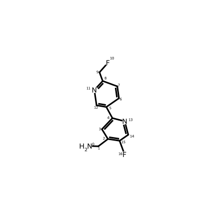 NCc1cc(-c2ccc(CF)nc2)ncc1F